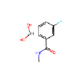 CNC(=O)c1cccc(F)c1.OBO